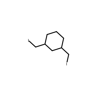 ICC1CCCC(CI)C1